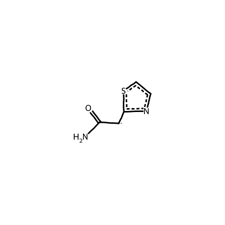 NC(=O)[CH]c1nccs1